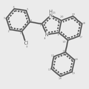 Clc1ccccc1-c1nc2c(-c3ccccc3)cccc2[nH]1